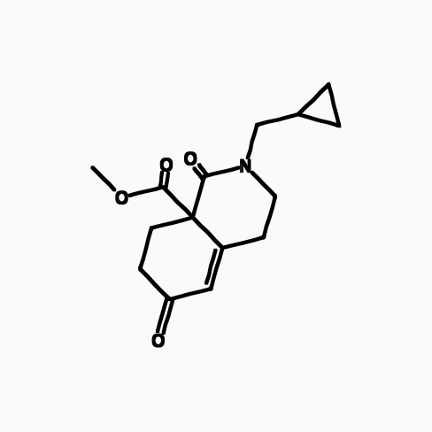 COC(=O)C12CCC(=O)C=C1CCN(CC1CC1)C2=O